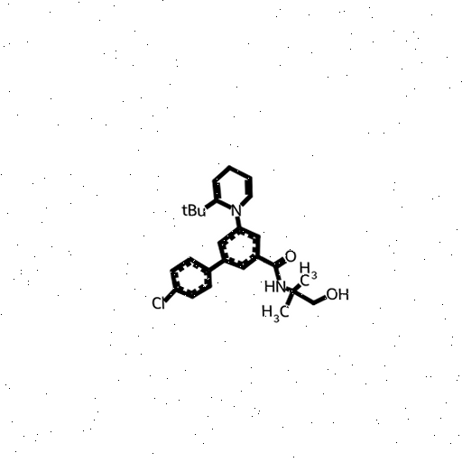 CC(C)(CO)NC(=O)c1cc(-c2ccc(Cl)cc2)cc(N2C=CCC=C2C(C)(C)C)c1